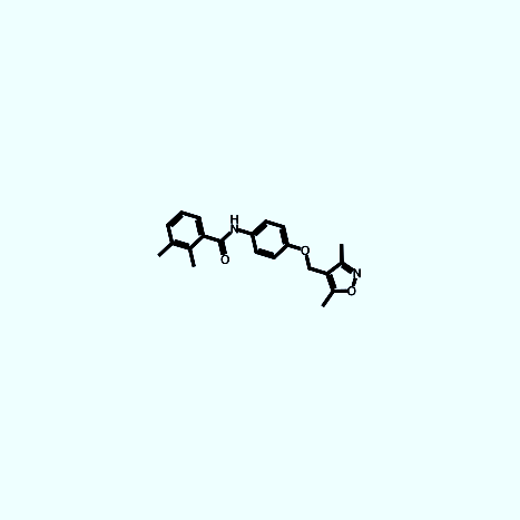 Cc1cccc(C(=O)Nc2ccc(OCc3c(C)noc3C)cc2)c1C